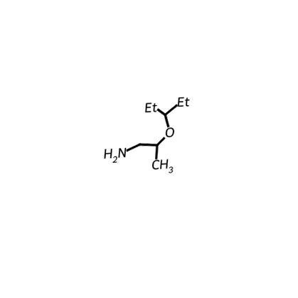 CCC(CC)OC(C)CN